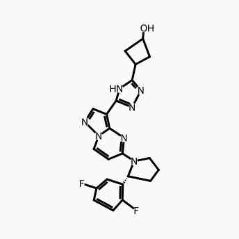 OC1CC(c2nnc(-c3cnn4ccc(N5CCC[C@@H]5c5cc(F)ccc5F)nc34)[nH]2)C1